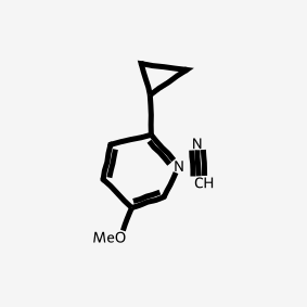 C#N.COc1ccc(C2CC2)nc1